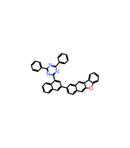 c1ccc(-c2nc(-c3ccccc3)nc(-c3cc(-c4ccc5cc6oc7ccccc7c6cc5c4)cc4ccccc34)n2)cc1